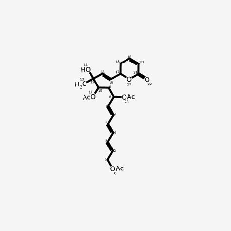 CC(=O)OCC=CC=CC=CC(CC(OC(C)=O)C(C)(O)C=CC1CC=CC(=O)O1)OC(C)=O